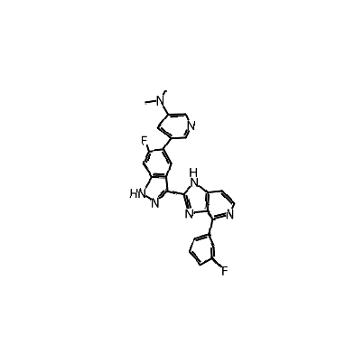 CN(C)c1cncc(-c2cc3c(-c4nc5c(-c6cccc(F)c6)nccc5[nH]4)n[nH]c3cc2F)c1